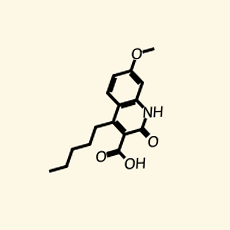 CCCCCc1c(C(=O)O)c(=O)[nH]c2cc(OC)ccc12